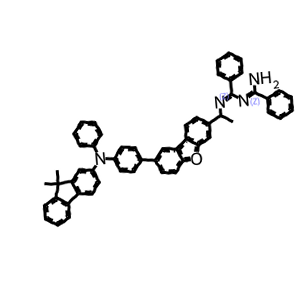 CC(/N=C(\N=C(/N)c1ccccc1)c1ccccc1)c1ccc2c(c1)oc1ccc(-c3ccc(N(c4ccccc4)c4ccc5c(c4)C(C)(C)c4ccccc4-5)cc3)cc12